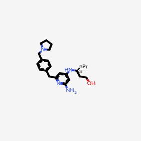 CCC[C@@H](CCO)Nc1cc(N)nc(Cc2ccc(CN3CCCC3)cc2)c1